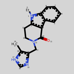 CCn1c2c(c3ccccc31)C(=O)N(Cc1nc[nH]c1C)CC2